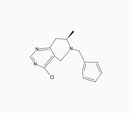 C[C@@H]1Cc2ncnc(Cl)c2CN1Cc1ccccc1